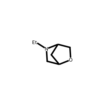 CCN1CC2CC1CO2